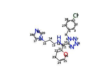 Clc1ccc(Cn2nnnc2[C@H](NCCCn2ccnc2)C2CCC=CO2)cc1